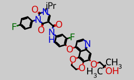 CC(C)n1cc(C(=O)Nc2ccc(Oc3ccnc4cc(OCC(C)(C)O)c5c(c34)OCCO5)c(F)c2)c(=O)n(-c2ccc(F)cc2)c1=O